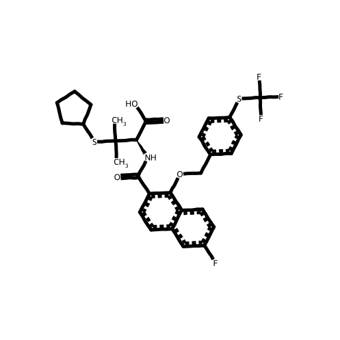 CC(C)(SC1CCCC1)[C@H](NC(=O)c1ccc2cc(F)ccc2c1OCc1ccc(SC(F)(F)F)cc1)C(=O)O